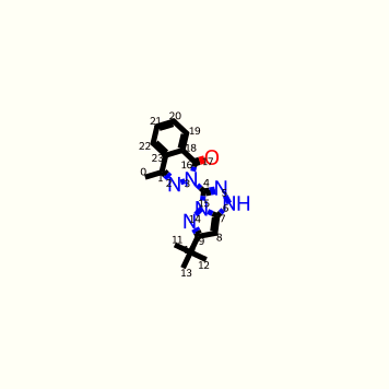 Cc1nn(-c2n[nH]c3cc(C(C)(C)C)nn23)c(=O)c2ccccc12